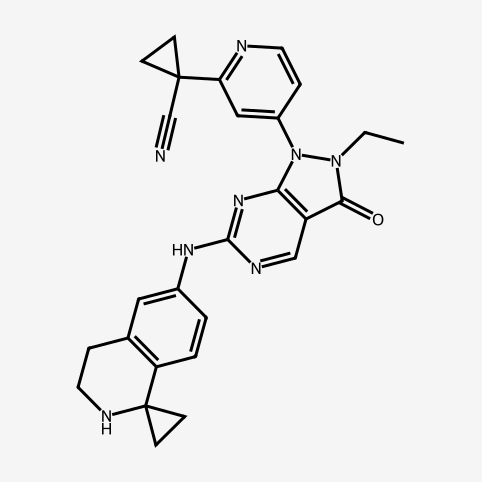 CCn1c(=O)c2cnc(Nc3ccc4c(c3)CCNC43CC3)nc2n1-c1ccnc(C2(C#N)CC2)c1